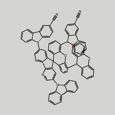 N#Cc1ccc2c(c1)c1ccccc1n2-c1cnc2c(c1)C1(c3cc(-n4c5ccccc5c5ccccc54)cnc3-2)c2cccc(N3c4ccccc4Sc4ccccc43)c2Oc2c(-n3c4ccccc4c4cc(C#N)ccc43)cccc21